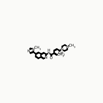 C=C(/C=C\C(=C/C)C(=O)Nc1cc2cc(-c3cncn3C)ccc2cn1)N1CCN(C)CC1